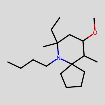 CCCCN1C(C)(CC)CC(OC)C(C)C12CCCC2